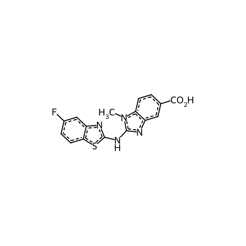 Cn1c(Nc2nc3cc(F)ccc3s2)nc2cc(C(=O)O)ccc21